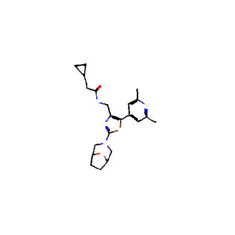 Cc1cc(-c2sc(N3CC4CCC(C3)O4)nc2CNC(=O)CC2CC2)cc(C)n1